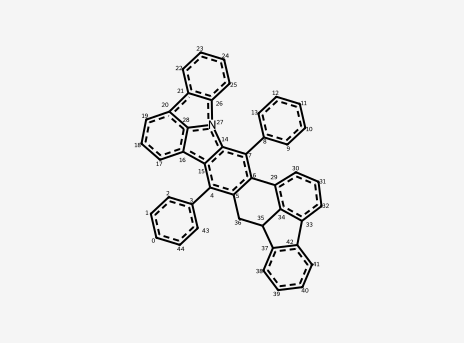 c1ccc(-c2c3c(c(-c4ccccc4)c4c2c2cccc5c6ccccc6n4c52)-c2cccc4c2C(C3)c2ccccc2-4)cc1